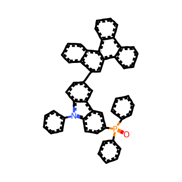 O=P(c1ccccc1)(c1ccccc1)c1ccc2c(c1)c1cc(-c3cc4c5ccccc5c5ccccc5c4c4ccccc34)ccc1n2-c1ccccc1